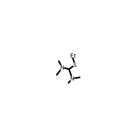 CCSC(N(C)C)N(C)C